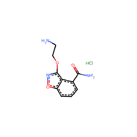 Cl.NCCOc1noc2cccc(C(N)=O)c12